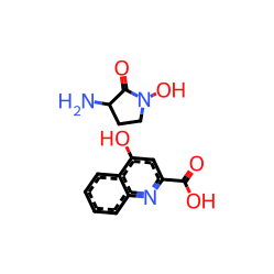 NC1CCN(O)C1=O.O=C(O)c1cc(O)c2ccccc2n1